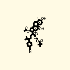 CC(=O)O[C@H]1C[C@@]2(C)[C@H](C[C@@H](O)[C@@H]3[C@@]4(C)CC[C@@H](O)[C@@H](C)C4CC[C@@]32C)C1=C(CCC(=C(C)C)c1ccc(C#N)cc1)C(=O)OCOC(=O)C(C)(C)C